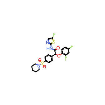 O=C(Nc1ncc(F)s1)C(Oc1ccc(F)cc1F)c1ccc(S(=O)(=O)N2CCCCC2)cc1